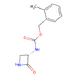 Cc1ccccc1COC(=O)N[C@H]1CNC1=O